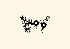 CCCC(CCc1ccc(Sc2cc(C#N)ccc2OCOC)cc1Cl)(COP(=O)(OC)OC)NC(=O)OC(C)(C)C